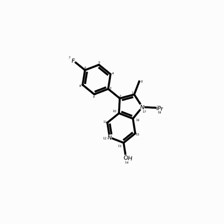 Cc1c(-c2ccc(F)cc2)c2cnc(O)cc2n1C(C)C